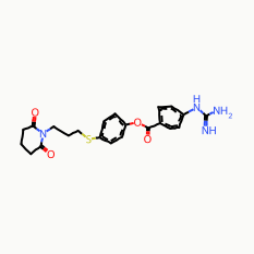 N=C(N)Nc1ccc(C(=O)Oc2ccc(SCCCN3C(=O)CCCC3=O)cc2)cc1